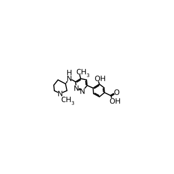 Cc1cc(-c2ccc(C(=O)O)cc2O)nnc1N[C@@H]1CCCN(C)C1